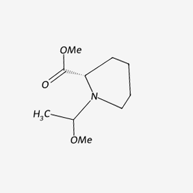 COC(=O)[C@@H]1CCCCN1C(C)OC